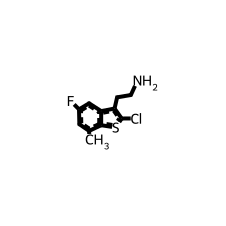 Cc1cc(F)cc2c(CCN)c(Cl)sc12